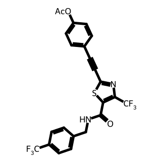 CC(=O)Oc1ccc(C#Cc2nc(C(F)(F)F)c(C(=O)NCc3ccc(C(F)(F)F)cc3)s2)cc1